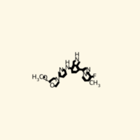 COC[C@@H]1CN(c2ccc(Nc3ccc(-c4cnc5c(F)c(C)ccn45)c4c3CNC4)nc2)CCO1